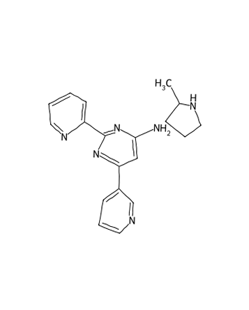 CC1CCCN1.Nc1cc(-c2cccnc2)nc(-c2ccccn2)n1